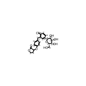 O=C1OCCC1Oc1ccc(Cc2cc([C@@H]3O[C@H](CO)[C@@H](O)[C@H](O)[C@H]3O)ccc2Cl)cc1